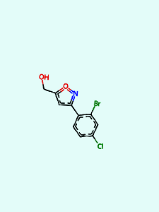 OCc1cc(-c2ccc(Cl)cc2Br)no1